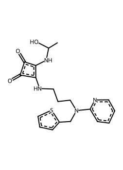 CC(O)Nc1c(NCCCN(Cc2cccs2)c2ccccn2)c(=O)c1=O